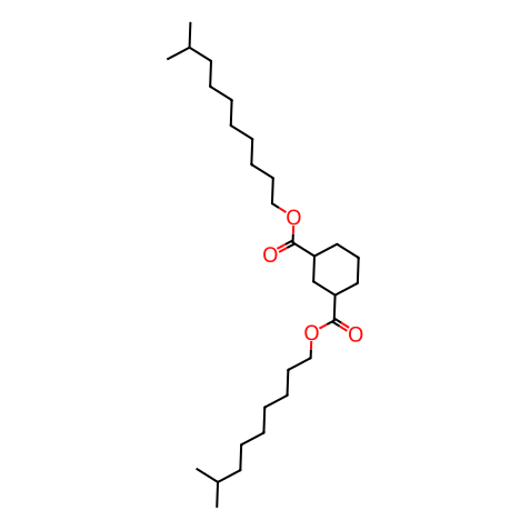 CC(C)CCCCCCCCOC(=O)C1CCCC(C(=O)OCCCCCCCC(C)C)C1